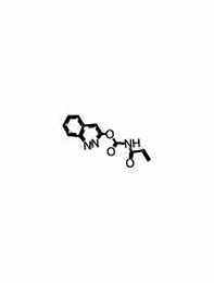 C=CC(=O)NC(=O)Oc1cc2ccccc2nn1